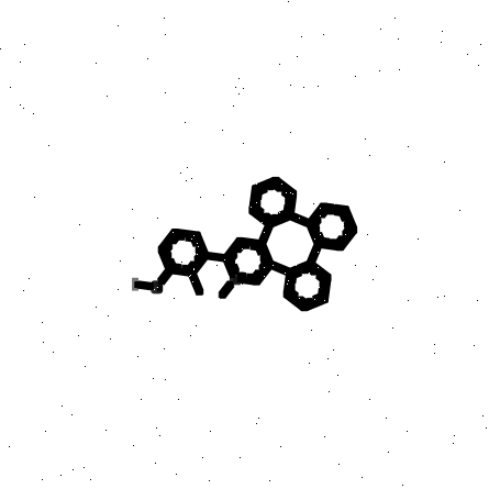 Cc1c(OI)cccc1-c1cc2c(c[n+]1C)-c1ccccc1-c1ccccc1-c1ccccc1-2